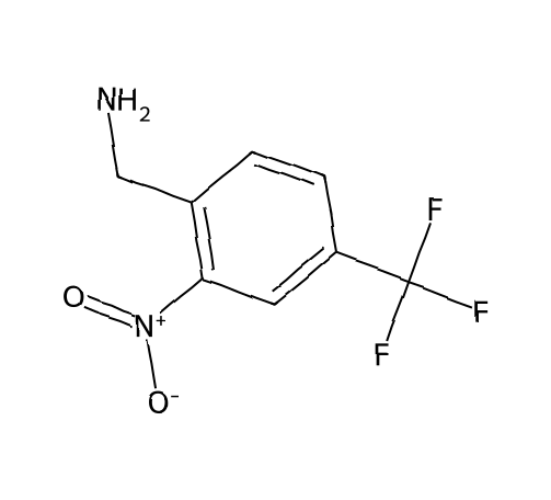 NCc1ccc(C(F)(F)F)cc1[N+](=O)[O-]